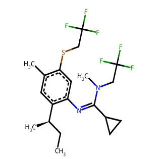 CC[C@@H](C)c1cc(C)c(SCC(F)(F)F)cc1/N=C(/C1CC1)N(C)CC(F)(F)F